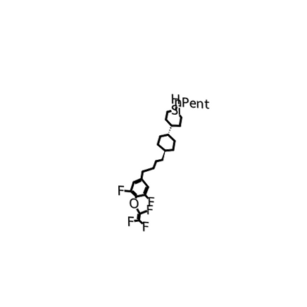 CCCCC[SiH]1CCC([C@H]2CC[C@H](CCCCc3cc(F)c(OC(F)=C(F)F)c(F)c3)CC2)CC1